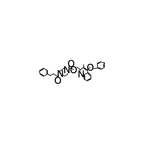 Cc1c(COC(=O)N2CCN(C(=O)CCc3ccccc3)CC2)nc2ccccc2c1OCc1ccccc1